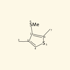 CSc1c(C)csc1C